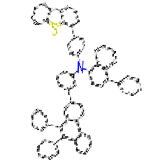 c1ccc(-c2ccc(N(c3ccc(-c4cccc5c4sc4ccccc45)cc3)c3cccc(-c4ccc5c(c4)c(-c4ccccc4)c(-c4ccccc4)c4ccccc45)c3)c3ccccc23)cc1